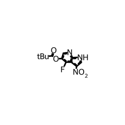 CC(C)(C)C(=O)Oc1cnc2[nH]cc([N+](=O)[O-])c2c1F